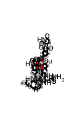 CC(C)(C)c1ccc(C[C@H](NC(=O)[C@H](CCC(N)=O)NC(=O)[C@@H]2CC[C@@H]3CCN(CC(F)F)C[C@H](NC(=O)c4cc5cc(C(F)(F)P(=O)(O)O)ccc5s4)C(=O)N32)C(=O)N2CCN(CC3CN(c4ccc5c(c4)C(=O)N(C4CCC(=O)NC4=O)C5=O)C3)CC2)cc1